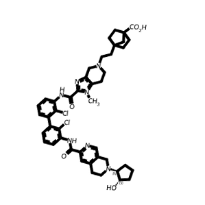 Cn1c(C(=O)Nc2cccc(-c3cccc(NC(=O)c4cc5c(cn4)CN([C@H]4CCC[C@@H]4O)CC5)c3Cl)c2Cl)nc2c1CCN(CCC13CCC(C(=O)O)(CC1)C3)C2